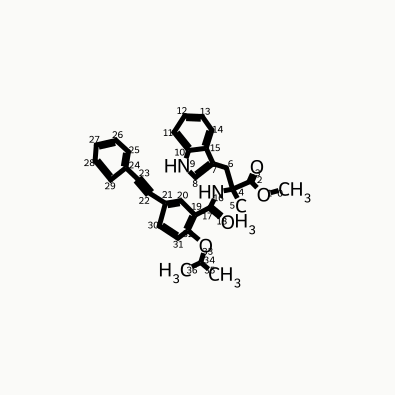 COC(=O)C(C)(Cc1c[nH]c2ccccc12)NC(=O)c1cc(C#Cc2ccccc2)ccc1OC(C)C